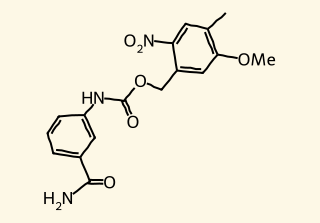 COc1cc(COC(=O)Nc2cccc(C(N)=O)c2)c([N+](=O)[O-])cc1C